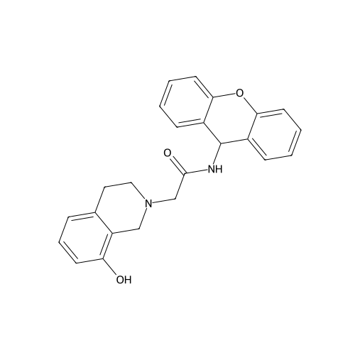 O=C(CN1CCc2cccc(O)c2C1)NC1c2ccccc2Oc2ccccc21